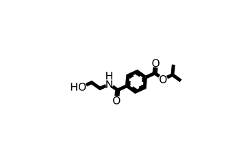 CC(C)OC(=O)c1ccc(C(=O)NCCO)cc1